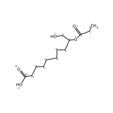 CCC(=O)OC(CO)CCCCCCCC(=O)O